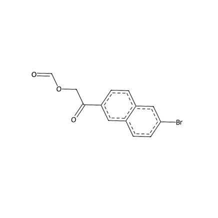 O=COCC(=O)c1ccc2cc(Br)ccc2c1